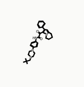 CC(C)(C)CN1CCN(c2ccc(NC(=O)C(=O)c3c(-c4ccccc4)cc4n3CCCC4)cc2)CC1